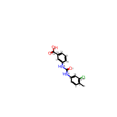 Cc1ccc(NC(=O)Nc2cccc(C(=O)O)c2)cc1Cl